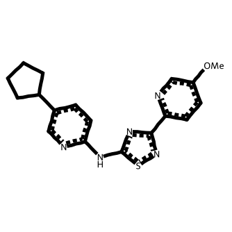 COc1ccc(-c2nsc(Nc3ccc(C4CCCC4)cn3)n2)nc1